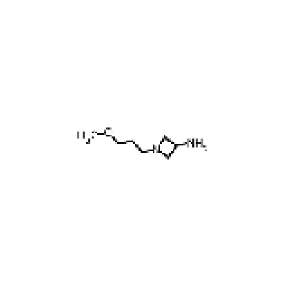 COCCCN1CC(N)C1